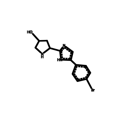 OC1CNC(c2ncc(-c3ccc(Br)cc3)[nH]2)C1